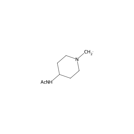 [CH2]N1CCC(NC(C)=O)CC1